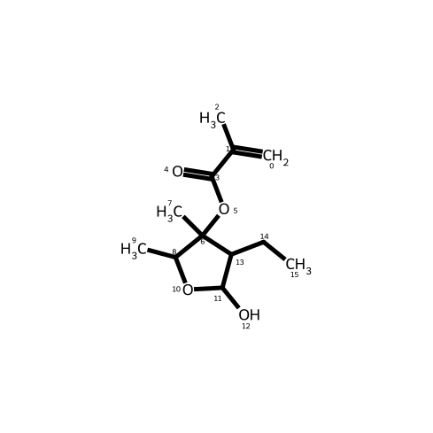 C=C(C)C(=O)OC1(C)C(C)OC(O)C1CC